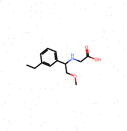 CCc1cccc(C(COC)NCC(=O)O)c1